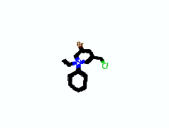 CC[N+]1(C2CCCCC2)C=C(CCl)C=C(Br)C1